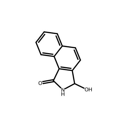 O=C1NC(O)c2ccc3ccccc3c21